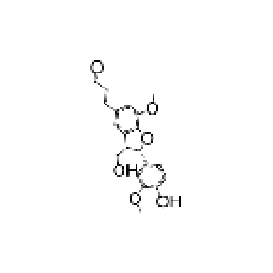 COc1cc([C@H]2Oc3c(OC)cc(/C=C/C=O)cc3[C@@H]2CO)ccc1O